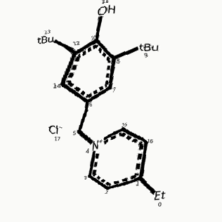 CCc1cc[n+](Cc2cc(C(C)(C)C)c(O)c(C(C)(C)C)c2)cc1.[Cl-]